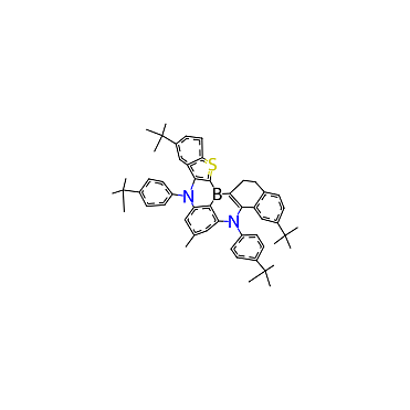 Cc1cc2c3c(c1)N(c1ccc(C(C)(C)C)cc1)c1c(sc4ccc(C(C)(C)C)cc14)B3C1=C(c3cc(C(C)(C)C)ccc3CC1)N2c1ccc(C(C)(C)C)cc1